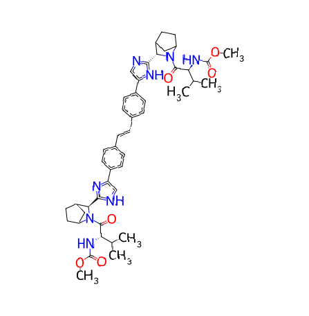 COC(=O)N[C@H](C(=O)N1C2CCC(C2)[C@H]1c1nc(-c2ccc(/C=C/c3ccc(-c4cnc([C@@H]5C6CCC(C6)N5C(=O)[C@@H](NC(=O)OC)C(C)C)[nH]4)cc3)cc2)c[nH]1)C(C)C